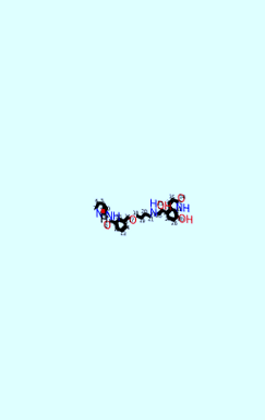 O=C(N[C@H]1[CH]C2CCN1CC2)c1cccc(COCCCCNC[C@H](O)c2ccc(O)c3[nH]c(=O)ccc23)c1